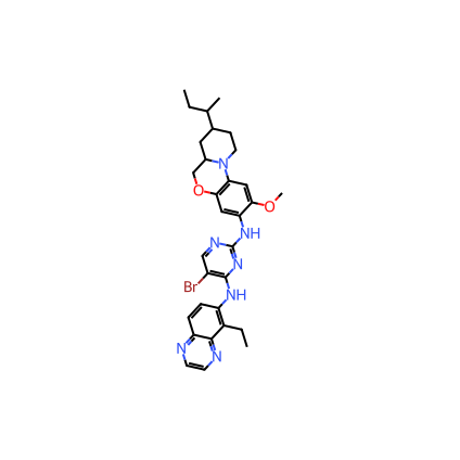 CCc1c(Nc2nc(Nc3cc4c(cc3OC)N3CCC(C(C)CC)CC3CO4)ncc2Br)ccc2nccnc12